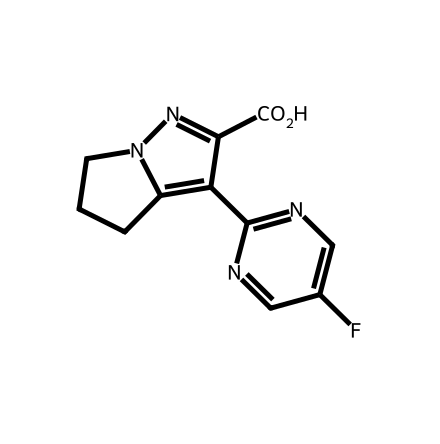 O=C(O)c1nn2c(c1-c1ncc(F)cn1)CCC2